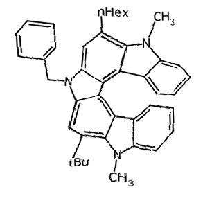 CCCCCCc1cc2c(c3c4ccccc4n(C)c13)c1c3c4ccccc4n(C)c3c(C(C)(C)C)cc1n2Cc1ccccc1